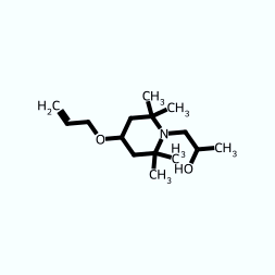 C=CCOC1CC(C)(C)N(CC(C)O)C(C)(C)C1